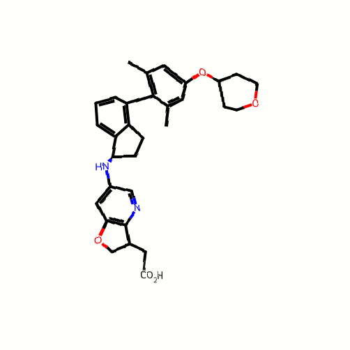 Cc1cc(OC2CCOCC2)cc(C)c1-c1cccc2c1CC[C@H]2Nc1cnc2c(c1)OCC2CC(=O)O